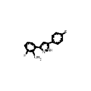 Cc1c(F)cccc1-c1cc(-c2ccc(F)cc2)[nH]n1